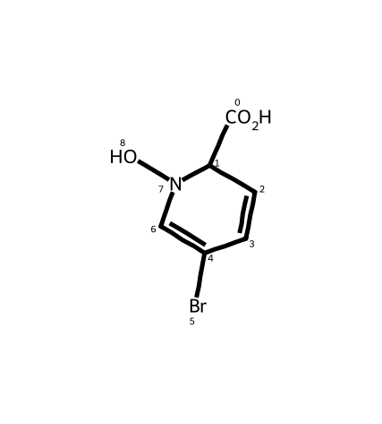 O=C(O)C1C=CC(Br)=CN1O